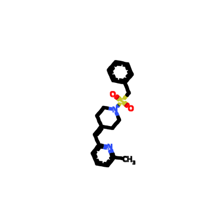 Cc1cccc(C=C2CCN(S(=O)(=O)Cc3ccccc3)CC2)n1